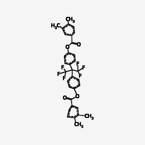 Cc1ccc(C(=O)Oc2ccc(C(c3ccc(OC(=O)c4ccc(C)c(C)c4)cc3)(C(F)(F)F)C(F)(F)F)cc2)cc1C